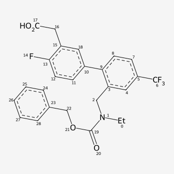 CCN(Cc1cc(C(F)(F)F)ccc1-c1ccc(F)c(CC(=O)O)c1)C(=O)OCc1ccccc1